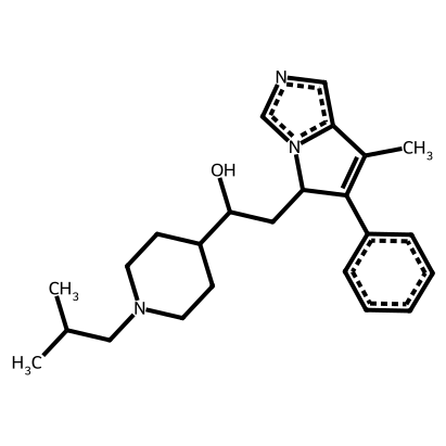 CC1=C(c2ccccc2)C(CC(O)C2CCN(CC(C)C)CC2)n2cncc21